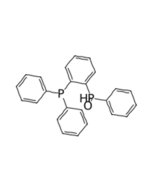 O=[PH](c1ccccc1)c1ccccc1P(c1ccccc1)c1ccccc1